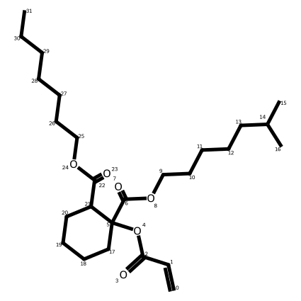 C=CC(=O)OC1(C(=O)OCCCCCC(C)C)CCCCC1C(=O)OCCCCCCC